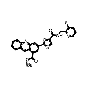 CC(C)(C)OC(=O)c1cc(-c2nc(C(=O)NCc3ncccc3F)cs2)cc2nc3ccccc3cc12